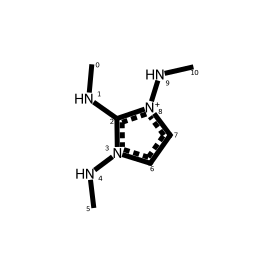 CNc1n(NC)cc[n+]1NC